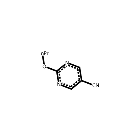 CCCOc1ncc(C#N)cn1